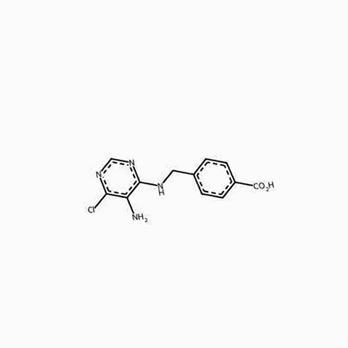 Nc1c(Cl)ncnc1NCc1ccc(C(=O)O)cc1